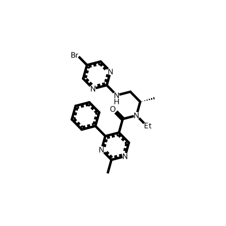 CCN(C(=O)c1cnc(C)nc1-c1ccccc1)[C@@H](C)CNc1ncc(Br)cn1